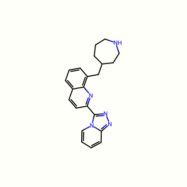 c1cc(CC2CCCNCC2)c2nc(-c3nnc4ccccn34)ccc2c1